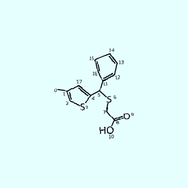 Cc1csc(C(SCC(=O)O)c2ccccc2)c1